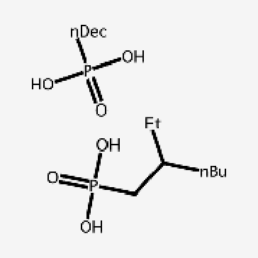 CCCCC(CC)CP(=O)(O)O.CCCCCCCCCCP(=O)(O)O